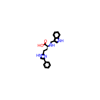 O=C(O)[C@H](CCc1nc(-c2ccccc2)c[nH]1)NCc1c[nH]c2ccccc12